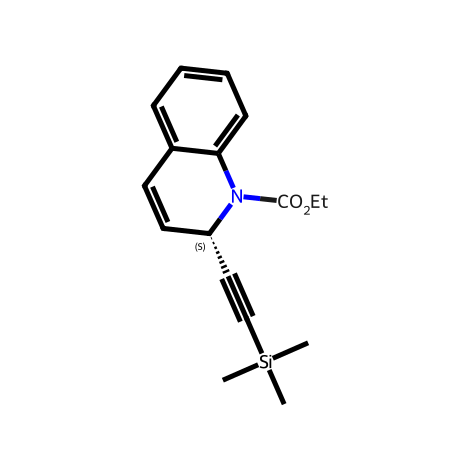 CCOC(=O)N1c2ccccc2C=C[C@H]1C#C[Si](C)(C)C